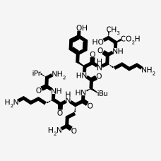 CC[C@H](C)[C@H](NC(=O)[C@H](CCC(N)=O)NC(=O)[C@H](CCCCN)NC(=O)[C@@H](N)C(C)C)C(=O)N[C@@H](Cc1ccc(O)cc1)C(=O)N[C@@H](CCCCN)C(=O)N[C@H](C(=O)O)[C@@H](C)O